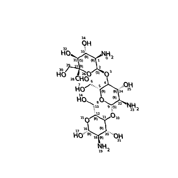 N[C@H]1[C@@H](OC2[C@@H](CO)O[C@@H](OC3[C@@H](CO)O[C@@H](O)[C@H](N)[C@H]3O)[C@H](N)[C@H]2O)O[C@](C=O)(CO)[C@@H](O)[C@@H]1O